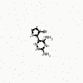 Nc1nnc(-c2sccc2Br)c(N)n1